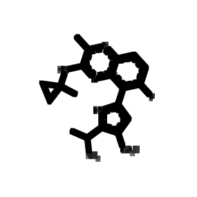 Cc1nc2ccc(F)c(-c3cc(C(=O)O)c(C(C)N)[nH]3)c2nc1NC1(C)CC1